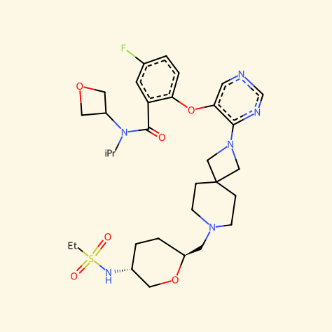 CCS(=O)(=O)N[C@@H]1CC[C@@H](CN2CCC3(CC2)CN(c2ncncc2Oc2ccc(F)cc2C(=O)N(C(C)C)C2COC2)C3)OC1